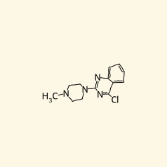 CN1CCN(c2nc(Cl)c3ccccc3n2)CC1